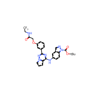 CC(C)(C)OC(=O)n1ncc2cc(Nc3nc(-c4cccc(OCC(=O)NCC(F)(F)F)c4)nn4cccc34)ccc21